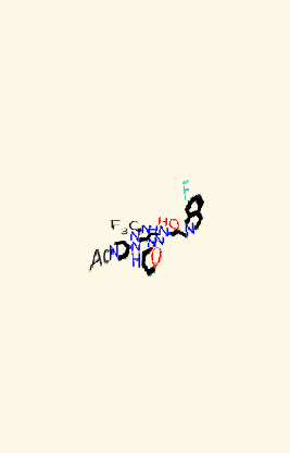 CC(=O)N1CCC(Nc2nc(C(F)(F)F)nc3c(NC[C@H](O)CN4CCc5ccc(F)cc5C4)nn(C4CCCCO4)c23)CC1